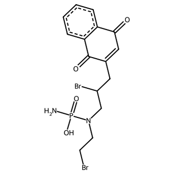 NP(=O)(O)N(CCBr)CC(Br)CC1=CC(=O)c2ccccc2C1=O